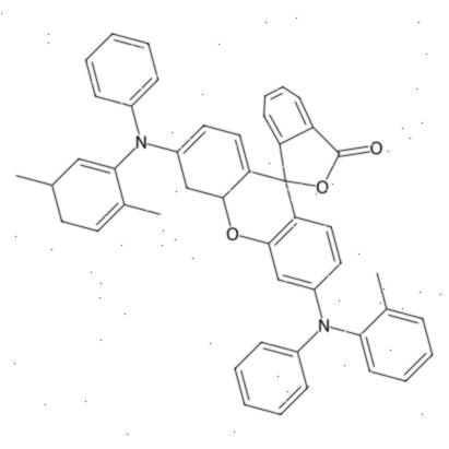 CC1=CCC(C)C=C1N(C1=CC=C2C(C1)Oc1cc(N(c3ccccc3)c3ccccc3C)ccc1C21OC(=O)c2ccccc21)c1ccccc1